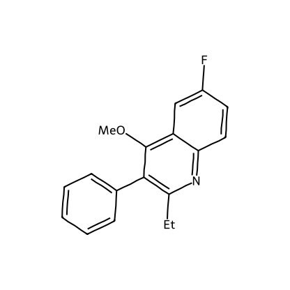 CCc1nc2ccc(F)cc2c(OC)c1-c1ccccc1